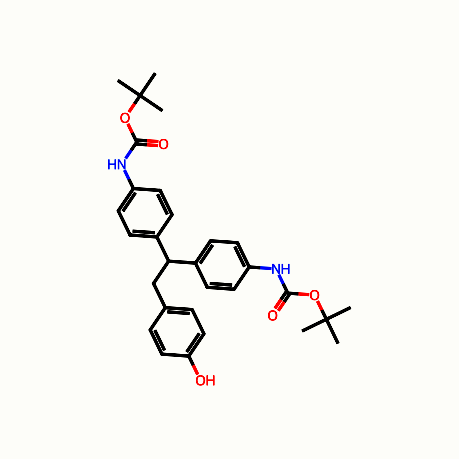 CC(C)(C)OC(=O)Nc1ccc(C(Cc2ccc(O)cc2)c2ccc(NC(=O)OC(C)(C)C)cc2)cc1